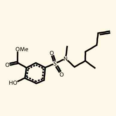 C=CCCC(C)CN(C)S(=O)(=O)c1ccc(O)c(C(=O)OC)c1